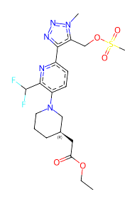 CCOC(=O)C[C@H]1CCCN(c2ccc(-c3nnn(C)c3COS(C)(=O)=O)nc2C(F)F)C1